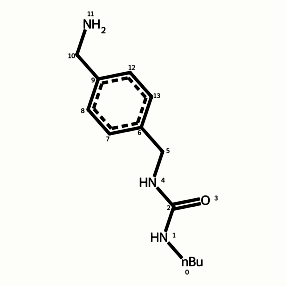 CCCCNC(=O)NCc1ccc(CN)cc1